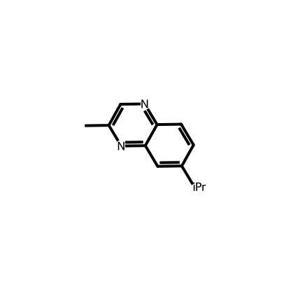 Cc1cnc2ccc(C(C)C)cc2n1